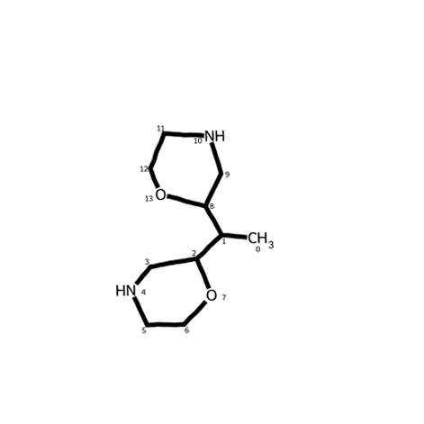 CC(C1CNCCO1)C1CNCCO1